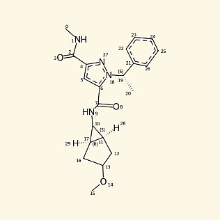 CNC(=O)c1cc(C(=O)NC2[C@H]3CC(OC)C[C@@H]23)n([C@@H](C)c2ccccc2)n1